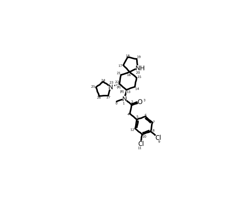 CN(C(=O)Cc1ccc(Cl)c(Cl)c1)[C@@H]1CCC2(CCCN2)C[C@H]1N1CCCC1